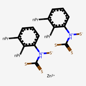 CCCc1cccc([NH+]([S-])C(=S)[S-])c1CCC.CCCc1cccc([NH+]([S-])C(=S)[S-])c1CCC.[Zn+2]